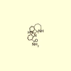 CC1(c2nc3c(C(N)=O)cccc3[nH]2)NCCCCc2ccccc21